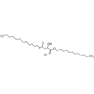 CCCCCCCCCCCCOC(=O)C(O)CC(=S)OCCCCCCCCCCCC.[Zn]